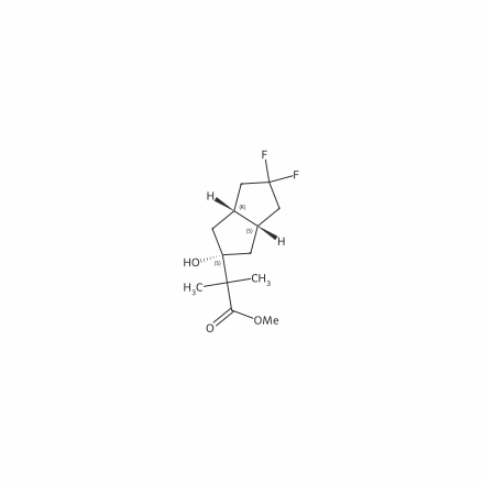 COC(=O)C(C)(C)[C@]1(O)C[C@H]2CC(F)(F)C[C@H]2C1